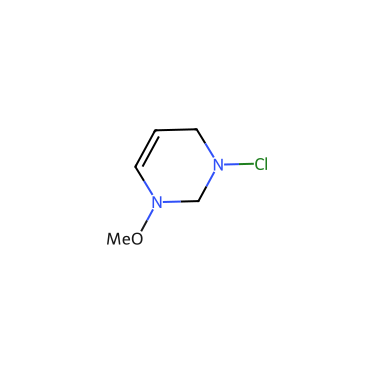 CON1C=CCN(Cl)C1